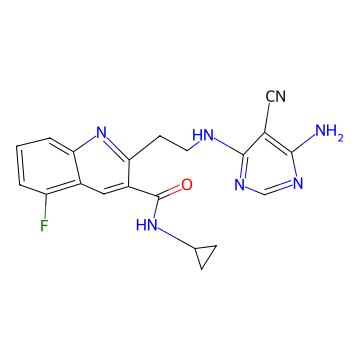 N#Cc1c(N)ncnc1NCCc1nc2cccc(F)c2cc1C(=O)NC1CC1